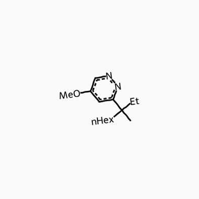 CCCCCCC(C)(CC)c1cc(OC)cnn1